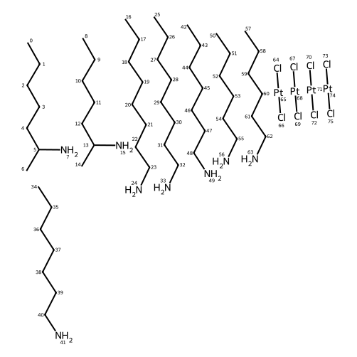 CCCCCC(C)N.CCCCCC(C)N.CCCCCCCCN.CCCCCCCCN.CCCCCCCN.CCCCCCCN.CCCCCCN.CCCCCCN.[Cl][Pt][Cl].[Cl][Pt][Cl].[Cl][Pt][Cl].[Cl][Pt][Cl]